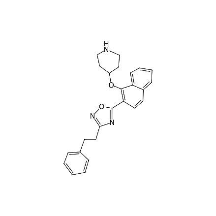 c1ccc(CCc2noc(-c3ccc4ccccc4c3OC3CCNCC3)n2)cc1